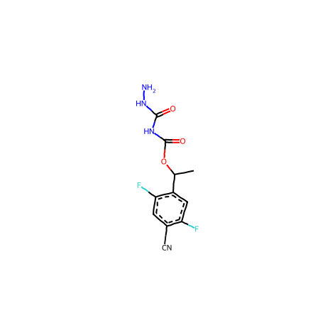 CC(OC(=O)NC(=O)NN)c1cc(F)c(C#N)cc1F